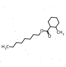 CCCCCCCCOC(=O)C1CCCCC1C